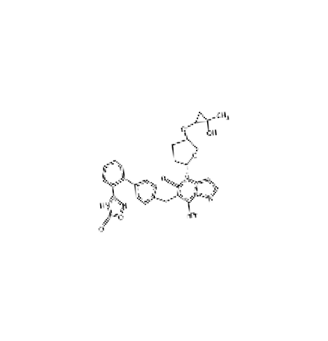 CCCc1c(Cc2ccc(-c3ccccc3-c3noc(=O)[nH]3)cc2)c(=O)n([C@H]2CC[C@H](OC3CC3(C)O)CC2)c2ccnn12